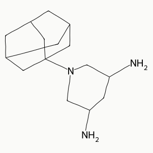 NC1CC(N)CN(C23CC4CC(CC(C4)C2)C3)C1